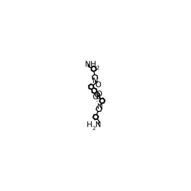 NCc1cccc(C2CCN(C(=O)c3cccc4cc5c(cc34)OB(c3[c]c(N4CCC(c6cccc(CN)c6)CC4)ccc3)O5)CC2)c1